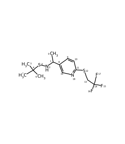 CC(NSC(C)(C)C)c1ccc(SCC(F)(F)F)nc1